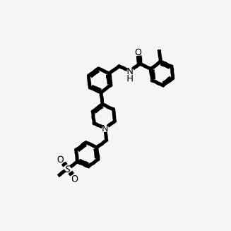 Cc1ccccc1C(=O)NCc1cccc(C2=CCN(Cc3ccc(S(C)(=O)=O)cc3)CC2)c1